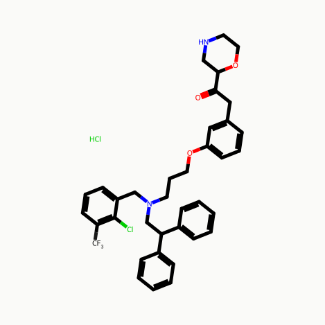 Cl.O=C(Cc1cccc(OCCCN(Cc2cccc(C(F)(F)F)c2Cl)CC(c2ccccc2)c2ccccc2)c1)C1CNCCO1